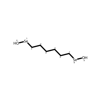 O[Se]CCCCCC[Se]O